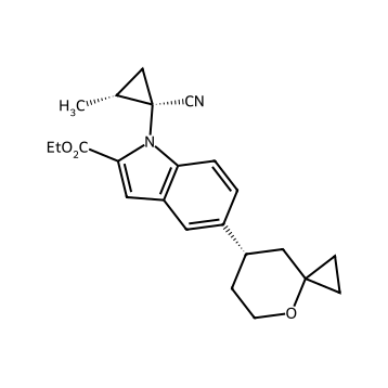 CCOC(=O)c1cc2cc([C@H]3CCOC4(CC4)C3)ccc2n1[C@]1(C#N)C[C@H]1C